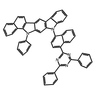 c1ccc(-c2nc(-c3ccccc3)nc(-c3ccc(-n4c5ccccc5c5cc6c7ccc8ccccc8c7n(-c7ccccc7)c6cc54)c4ccccc34)n2)cc1